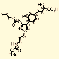 C=CCOC(=O)Nc1nn(CCCNC(=O)OC(C)(C)C)cc1-c1ccc(OC[C@@H](O)C(=O)O)cc1F